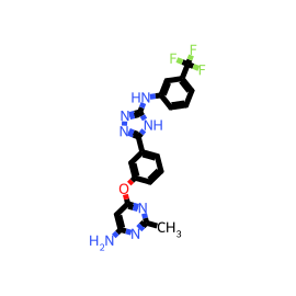 Cc1nc(N)cc(Oc2cccc(-c3nnc(Nc4cccc(C(F)(F)F)c4)[nH]3)c2)n1